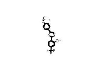 COc1ccc(-c2csc(-c3ccc(C(F)(F)F)cc3O)n2)cc1